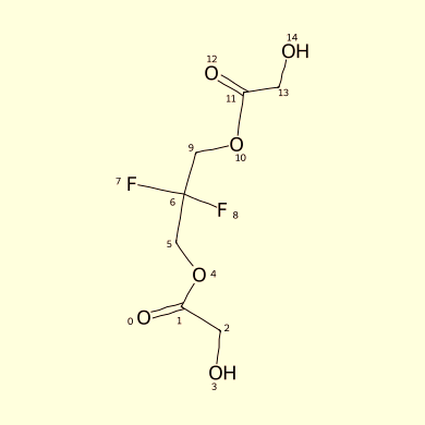 O=C(CO)OCC(F)(F)COC(=O)CO